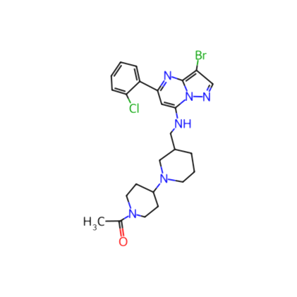 CC(=O)N1CCC(N2CCCC(CNc3cc(-c4ccccc4Cl)nc4c(Br)cnn34)C2)CC1